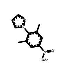 CO[N+](=O)c1cc(C)c(-n2cccn2)c(C)c1